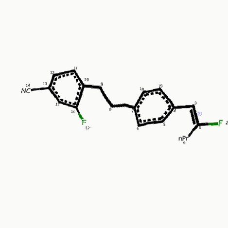 CCC/C(F)=C\c1ccc(CCc2ccc(C#N)cc2F)cc1